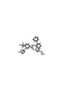 Cn1ccc(-c2cc(C(=O)Nc3c(-c4ccccc4)ccc4c(CO)cnn34)ccc2C(F)(F)F)n1